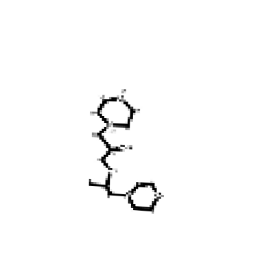 CC(CN1CCOCC1)OCC([O])CN1CCOCC1